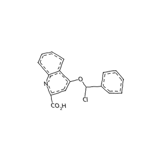 O=C(O)c1cc(OC(Cl)c2ccccc2)c2ccccc2n1